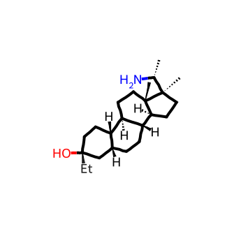 CC[C@@]1(O)CC[C@H]2[C@H](CC[C@@H]3[C@@H]2CC[C@@]2(C)[C@H]3CC[C@]2(C)[C@@H](C)N)C1